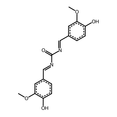 COc1cc(C=NC(=O)N=Cc2ccc(O)c(OC)c2)ccc1O